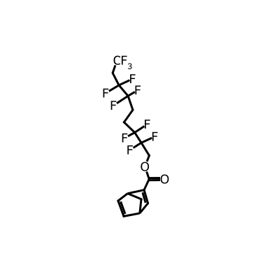 O=C(OCC(F)(F)C(F)(F)CCC(F)(F)C(F)(F)CC(F)(F)F)C1=CC2C=CC1C2